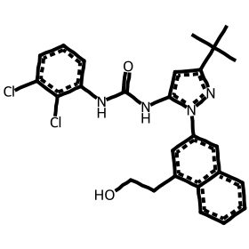 CC(C)(C)c1cc(NC(=O)Nc2cccc(Cl)c2Cl)n(-c2cc(CCO)c3ccccc3c2)n1